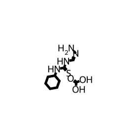 N/N=C\NC(=S)NC1CCCCC1.O=C(O)O